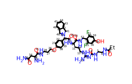 CCC(=O)NCCNC(=O)/N=C(/N)NCCC[C@@H](NC(=O)[C@H](c1ccc(OCCCNC(=O)[C@H](N)CC(N)=O)cc1)N1Cc2ccccc2C1)C(=O)NCc1c(F)cc(O)cc1F